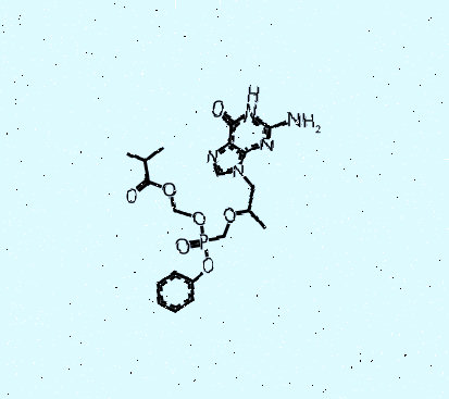 CC(Cn1cnc2c(=O)[nH]c(N)nc21)OCP(=O)(OCOC(=O)C(C)C)Oc1ccccc1